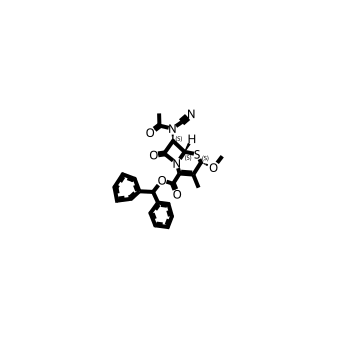 CO[C@H]1S[C@H]2[C@@H](N(C#N)C(C)=O)C(=O)N2C(C(=O)OC(c2ccccc2)c2ccccc2)=C1C